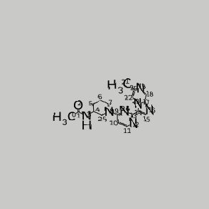 CC(=O)NC1CCCN(c2ccnc(-c3cnc4cnc(C)cn34)n2)C1